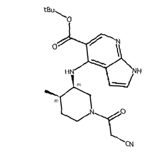 C[C@@H]1CCN(C(=O)CC#N)C[C@@H]1Nc1c(C(=O)OC(C)(C)C)cnc2[nH]ccc12